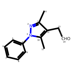 Cc1nn(-c2ccccc2)c(C)c1CC=O